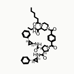 CCCCCC(=O)N1CCN(C(=O)c2ccc(C(=O)N3C[C@@H](C(=O)N[C@H]4C[C@@H]4c4ccccc4)[C@H](C(=O)N[C@H]4C[C@@H]4c4ccccc4)C3)cc2)CC1C(=O)NCC